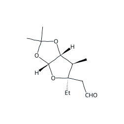 CC[C@]1(CC=O)O[C@@H]2OC(C)(C)O[C@@H]2[C@H]1C